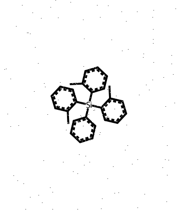 Cc1ccccc1[Si](c1ccccc1)(c1ccccc1C)c1ccccc1C